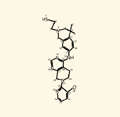 CC1(C)CN(CCS)Cc2cc(Nc3ncnc4c3CCN(c3ncccc3Cl)C4)ccc21